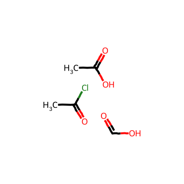 CC(=O)Cl.CC(=O)O.O=CO